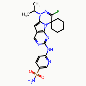 CC(C)N1N=C(F)C2(CCCCC2)n2c1cc1cnc(Nc3ccc(S(N)(=O)=O)cn3)nc12